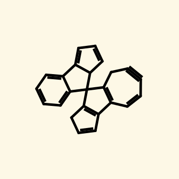 C1#CCC2=C(C=C1)C1=C(CC=C1)C21c2ccccc2C2=CC=CC21